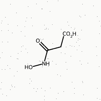 O=C(O)CC(=O)NO